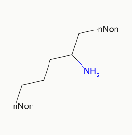 CCCCCCCCCCCCC(N)CCCCCCCCCC